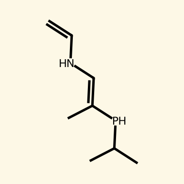 C=CN/C=C(\C)PC(C)C